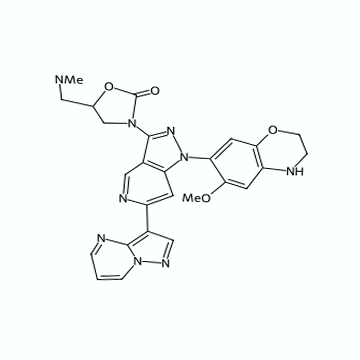 CNCC1CN(c2nn(-c3cc4c(cc3OC)NCCO4)c3cc(-c4cnn5cccnc45)ncc23)C(=O)O1